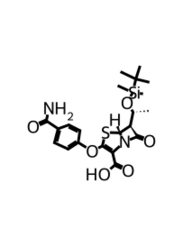 C[C@@H](O[Si](C)(C)C(C)(C)C)[C@H]1C(=O)N2C(C(=O)O)=C(Oc3ccc(C(N)=O)cc3)S[C@H]12